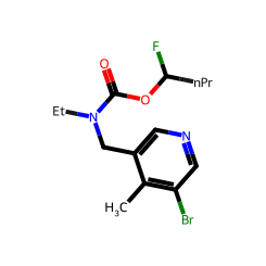 CCCC(F)OC(=O)N(CC)Cc1cncc(Br)c1C